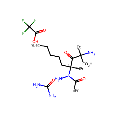 CCCCCCCCCCCCCC[C@@](C(=O)C(N)(CC)C(=O)O)(C(C)C)N(N)C(=O)CCC.NC(N)=O.O=C(O)C(F)(F)F